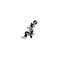 C=CCn1c(=O)c2cnc(Nc3cnc(N4CCN(C)CC4)c(C)c3)nc2n1C1CCCC(C(C)(C)O)N1